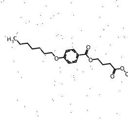 CCCCCCCOc1ccc(C(=O)OCCCC(=O)OC)cc1